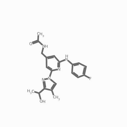 CC(=O)NCc1cc(Nc2ccc(F)cc2)nc(-n2cc(C)c(C(C)O)n2)c1